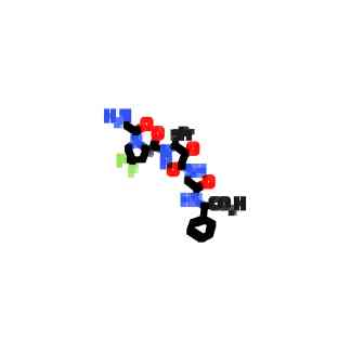 CCCC(NC(=O)[C@@H]1CC(F)(F)CN1C(=O)CN)C(=O)C(=O)NCC(=O)NC(C(=O)O)c1ccccc1